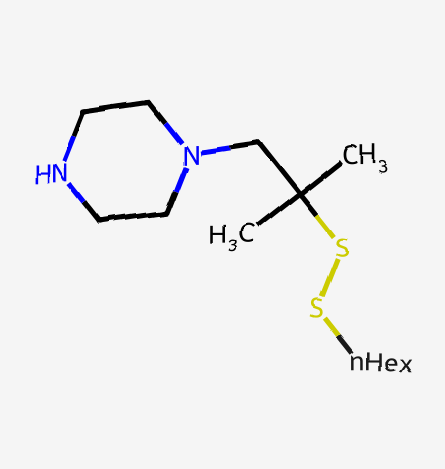 CCCCCCSSC(C)(C)CN1CCNCC1